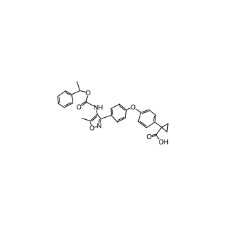 Cc1onc(-c2ccc(Oc3ccc(C4(C(=O)O)CC4)cc3)cc2)c1NC(=O)OC(C)c1ccccc1